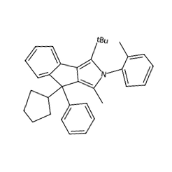 Cc1ccccc1-n1c(C)c2c(c1C(C)(C)C)-c1ccccc1C2(c1ccccc1)C1CCCC1